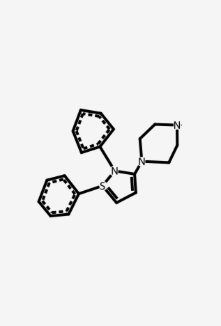 C1=C(N2CC[N]CC2)N(c2ccccc2)S(c2ccccc2)=C1